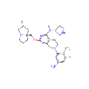 Cc1cc(N)nc(N2CCc3c(nc(OC[C@@]45CCCN4C[C@H](F)C5)nc3N(C)[C@@H]3CCNC3)C2)c1C(F)(F)F